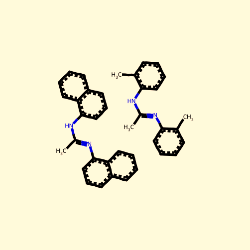 C/C(=N\c1cccc2ccccc12)Nc1cccc2ccccc12.C/C(=N\c1ccccc1C)Nc1ccccc1C